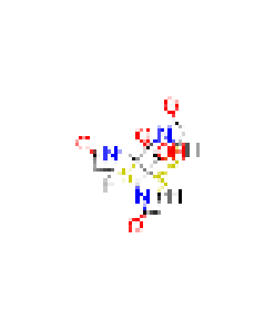 O=C1C[C@H]2SC(C3(C4(C(=O)O)CN5C(=O)C[C@H]5S4)CN4C(=O)C[C@H]4S3)CN12